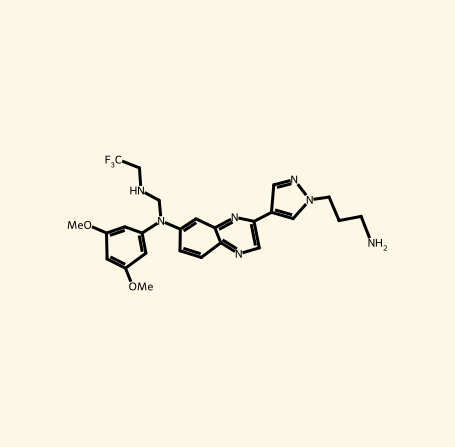 COc1cc(OC)cc(N(CNCC(F)(F)F)c2ccc3ncc(-c4cnn(CCCN)c4)nc3c2)c1